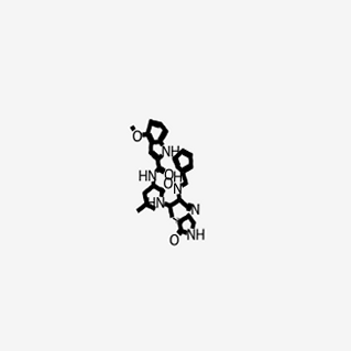 COc1cccc2[nH]c(C(=O)NC(CC(C)C)C(=O)NC(C[C@@H]3CCNC3=O)C(C#N)NCc3ccccc3)cc12